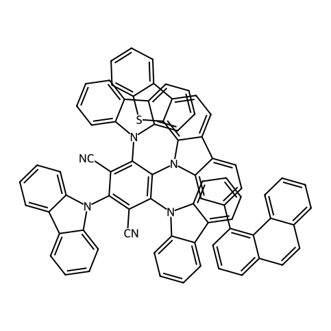 N#Cc1c(-n2c3ccccc3c3ccccc32)c(C#N)c(-n2c3ccccc3c3ccccc32)c(-n2c3cc(-c4cccc5ccc6ccccc6c45)ccc3c3ccc4c5ccccc5sc4c32)c1-n1c2ccccc2c2ccccc21